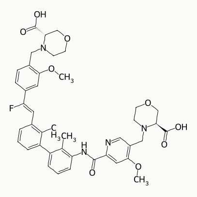 COc1cc(/C(F)=C/c2cccc(-c3cccc(NC(=O)c4cc(OC)c(CN5CCOC[C@H]5C(=O)O)cn4)c3C)c2C)ccc1CN1CCOC[C@H]1C(=O)O